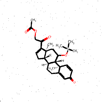 CC(=O)OCC(=O)C1=CC[C@H]2[C@@H]3CCC4=CC(=O)C=C[C@]4(C)[C@H]3C(O[Si](C)(C)C)C[C@]12C